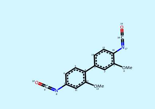 COc1cc(-c2ccc(N=C=O)cc2OC)ccc1N=C=O